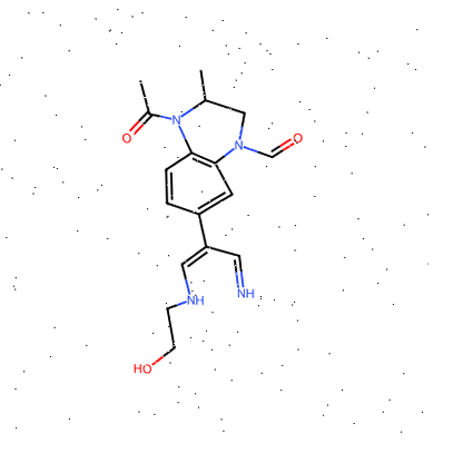 CC(=O)N1c2ccc(/C(C=N)=C/NCCO)cc2N(C=O)CC1C